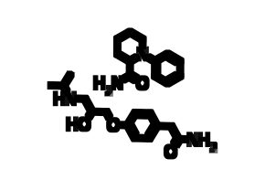 CC(C)NCC(O)COc1ccc(CC(N)=O)cc1.NC(=O)C1CCCCN1c1ccccc1